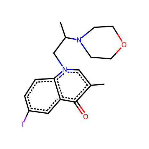 Cc1cn(CC(C)N2CCOCC2)c2ccc(I)cc2c1=O